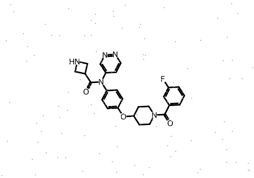 O=C(c1cccc(F)c1)N1CCC(Oc2ccc(N(C(=O)C3CNC3)c3ccnnc3)cc2)CC1